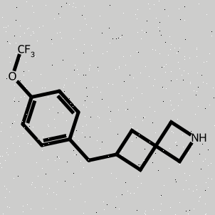 FC(F)(F)Oc1ccc(CC2CC3(CNC3)C2)cc1